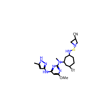 CCC1CCC(NSN2CC(C#N)C2)CC(N(C)c2nc(Nc3cc(C)[nH]n3)cc(OC)n2)C1